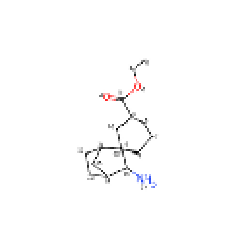 CCOC(=O)C1CCC[C@]2(C1)C1CCC(C1)C2N